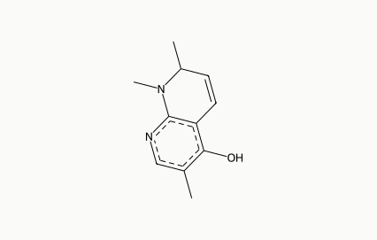 Cc1cnc2c(c1O)C=CC(C)N2C